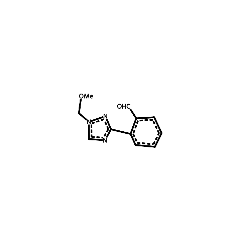 COCn1cnc(-c2ccccc2C=O)n1